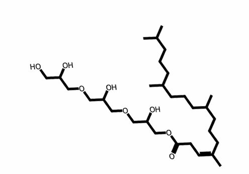 CC(=CCC(=O)OCC(O)COCC(O)COCC(O)CO)CCCC(C)CCCC(C)CCCC(C)C